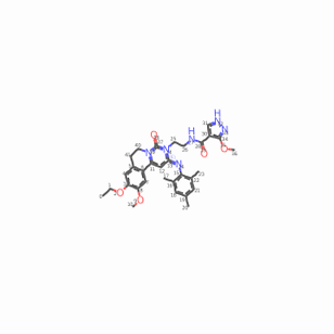 CCOc1cc2c(cc1OC)-c1c/c(=N\c3c(C)cc(C)cc3C)n(CCNC(=O)c3c[nH]nc3OC)c(=O)n1CC2